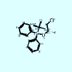 C[C@@H](CCl)O[Si](c1ccccc1)(c1ccccc1)C(C)(C)C